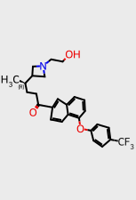 C[C@H](CCC(=O)c1ccc2c(Oc3ccc(C(F)(F)F)cc3)cccc2c1)C1CN(CCO)C1